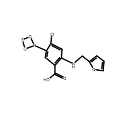 O=C(O)c1cc(N2OSO2)c(Cl)cc1NCc1ccco1